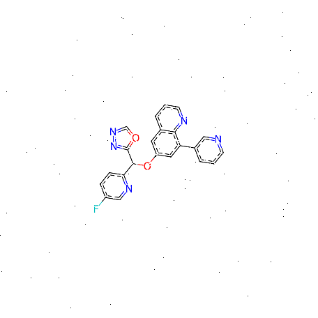 Fc1ccc(C(Oc2cc(-c3cccnc3)c3ncccc3c2)c2nnco2)nc1